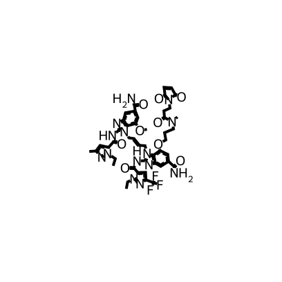 CCn1nc(C)cc1C(=O)Nc1nc2cc(C(N)=O)cc(OC)c2n1C/C=C/Cn1c(NC(=O)c2cc(C(F)(F)F)nn2CC)nc2cc(C(N)=O)cc(OCCCN(C)C(=O)CCN3C(=O)C=CC3=O)c21